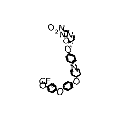 O=[N+]([O-])c1cn2c(n1)O[C@@H](COc1ccc(N3CCC(Oc4ccc(Oc5ccc(OC(F)(F)F)cc5)cc4)CC3)cc1)CC2